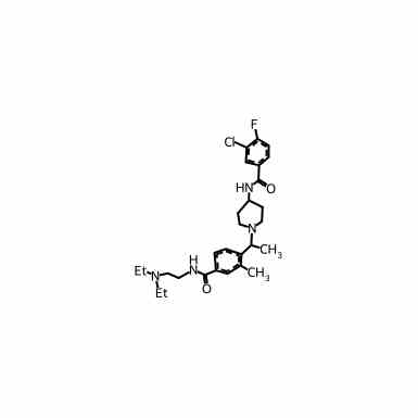 CCN(CC)CCNC(=O)c1ccc(C(C)N2CCC(NC(=O)c3ccc(F)c(Cl)c3)CC2)c(C)c1